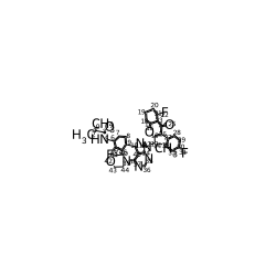 CC(C)C(=O)Nc1ccc(-c2nn(C(C)c3oc4cccc(F)c4c(=O)c3-c3ccc(F)cc3)c3ncnc(N4CCOCC4)c23)cc1F